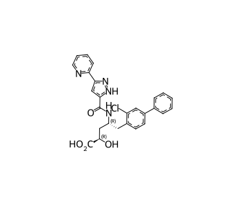 O=C(N[C@H](Cc1ccc(-c2ccccc2)cc1Cl)C[C@@H](O)C(=O)O)c1cc(-c2ccccn2)n[nH]1